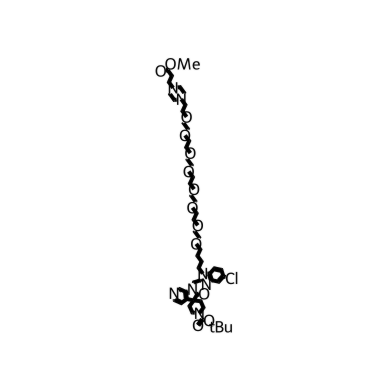 COC(=O)CCN1CCN(CCOCCOCCOCCOCCOCCOCCOCCOCCCCn2c(CN3C(=O)C4(CCN(C(=O)OC(C)(C)C)CC4)c4ccncc43)nc3cc(Cl)ccc32)CC1